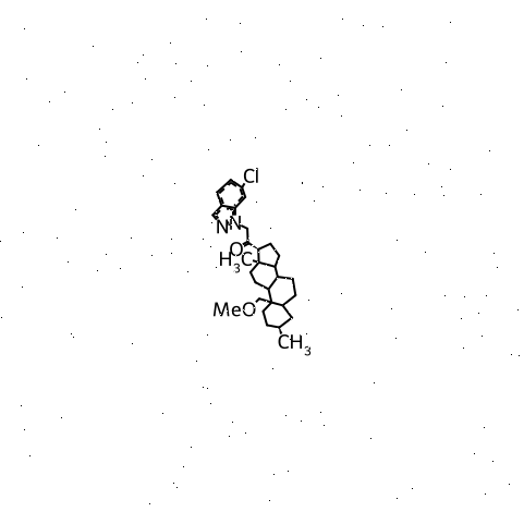 COCC12CC[C@H](C)CC1CCC1C2CCC2(C)C1CC[C@@H]2C(=O)Cn1ncc2ccc(Cl)cc21